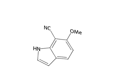 COc1ccc2cc[nH]c2c1C#N